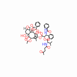 CC(=O)CCC(=O)N[C@H](C(=O)O[C@@H](C(=O)O[C@H]1C[C@@]2(O)[C@@H](OC(=O)c3ccccc3)[C@@H]3[C@]4(OC(C)=O)CO[C@@H]4C[C@H](O)[C@@]3(C)C(=O)[C@H](OC(C)=O)C(=C1C)C2(C)C)[C@@H](NC(=O)c1ccccc1)c1ccccc1)C(C)C